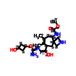 CC1=C(C)C(/C(O)=C\N=C(/N)OC2CC(O)C2)CC2(CNC2)[C@H](NC(=O)OC(C)(C)C)C1